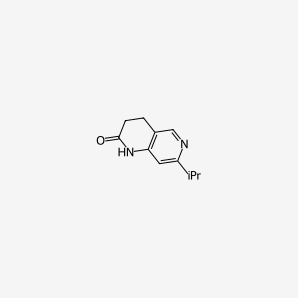 CC(C)c1cc2c(cn1)CCC(=O)N2